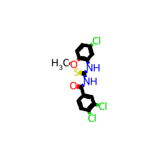 COc1ccc(Cl)cc1NC(=S)NC(=O)c1ccc(Cl)c(Cl)c1